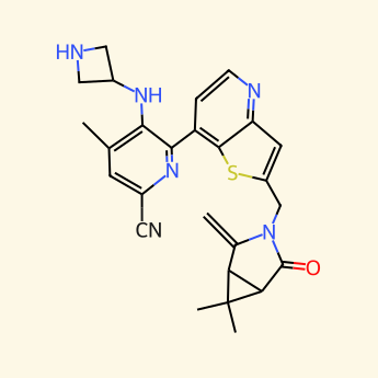 C=C1C2C(C(=O)N1Cc1cc3nccc(-c4nc(C#N)cc(C)c4NC4CNC4)c3s1)C2(C)C